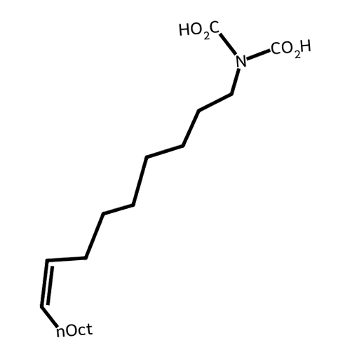 CCCCCCCC/C=C\CCCCCCCN(C(=O)O)C(=O)O